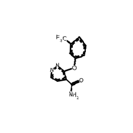 NC(=O)c1ccnnc1Oc1cccc(C(F)(F)F)c1